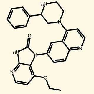 CCOc1ccnc2[nH]c(=O)n(-c3ccc4nccc(N5CCNC(c6ccccc6)C5)c4c3)c12